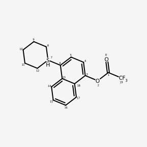 O=C(Oc1ccc([SH]2CCCCC2)c2ccccc12)C(F)(F)F